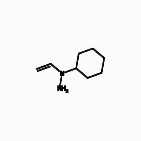 C=CN(N)C1CCCCC1